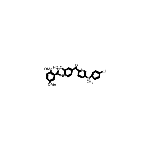 COc1ccc(OC)c(C(=O)Nc2ccc(C(=O)c3ccc(N(C)c4ccc(Cl)cc4)cn3)cc2C(=O)O)c1